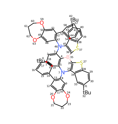 CC(C)(C)c1cc2c3c(c1)N(c1cc4c(cc1-c1ccccc1)OCCCO4)c1c(sc4ccc(C(C)(C)C)cc14)B3c1sc3ccc(C(C)(C)C)cc3c1N2c1cc2c(cc1-c1ccccc1)OCCCO2